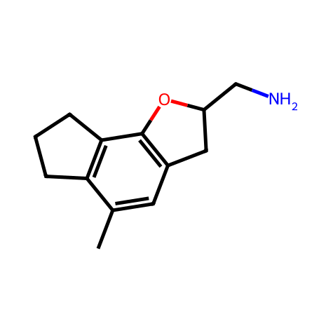 Cc1cc2c(c3c1CCC3)OC(CN)C2